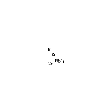 [Ce].[Ir].[RbH].[Zr]